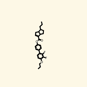 CCCOc1ccc(-c2ccc(OC(=O)C3=CCC4C(CCC)CCC34)cc2)c(F)c1F